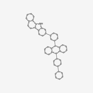 c1ccc(-c2ccc(-c3c4ccccc4c(-c4cccc(-c5ccc6c(c5)[nH]c5c7ccccc7ccc65)c4)c4ccccc34)cc2)cc1